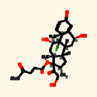 COC(=O)CCC(=O)O[C@]1(C(=O)CO)[C@@H](C)C[C@H]2[C@@H]3C[C@@H](O)C4=CC(=O)C=C[C@]4(C)[C@@]3(F)[C@@H](O)C[C@@]21C